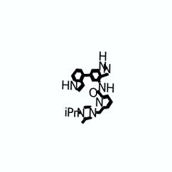 CC(C)N1CCN(Cc2cccc(C(=O)Nc3cc(-c4cccc5[nH]ccc45)cc4[nH]ncc34)n2)CC1C